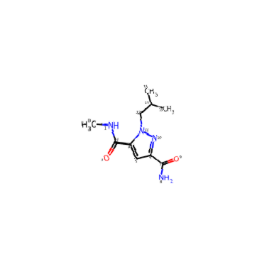 CNC(=O)c1[c]c(C(N)=O)nn1CC(C)C